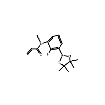 C=CC(=O)N(C)c1cccc(B2OC(C)(C)C(C)(C)O2)c1F